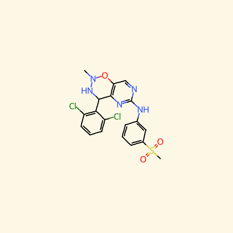 CN1NC(c2c(Cl)cccc2Cl)c2nc(Nc3cccc(S(C)(=O)=O)c3)ncc2O1